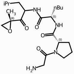 CCCC[C@H](NC(=O)[C@@H]1CCCN1C(=O)CN)C(=O)NC(CC(C)C)C(=O)[C@@]1(C)CO1